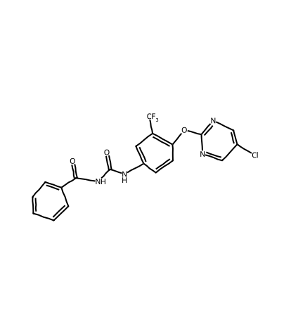 O=C(NC(=O)c1ccccc1)Nc1ccc(Oc2ncc(Cl)cn2)c(C(F)(F)F)c1